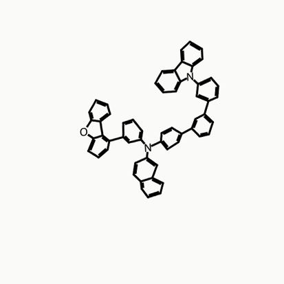 c1cc(-c2ccc(N(c3cccc(-c4cccc5oc6ccccc6c45)c3)c3ccc4ccccc4c3)cc2)cc(-c2cccc(-n3c4ccccc4c4ccccc43)c2)c1